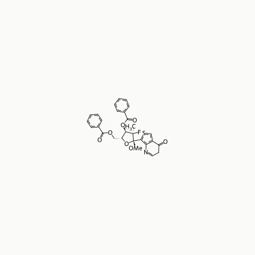 CO[C@@]1(c2scc3c2N=CCC3=O)O[C@H](COC(=O)c2ccccc2)[C@@H](OC(=O)c2ccccc2)[C@@]1(C)F